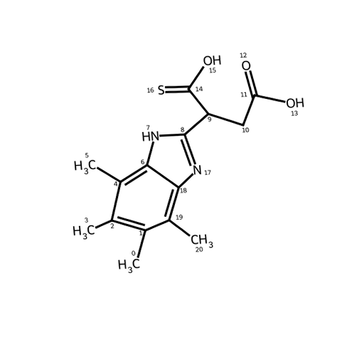 Cc1c(C)c(C)c2[nH]c(C(CC(=O)O)C(O)=S)nc2c1C